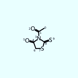 CC(=O)N1C(=O)CSC1=S